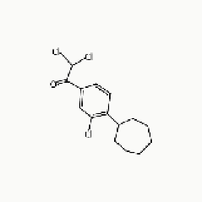 O=C(c1ccc(C2CCCCCC2)c(Cl)c1)C(Cl)Cl